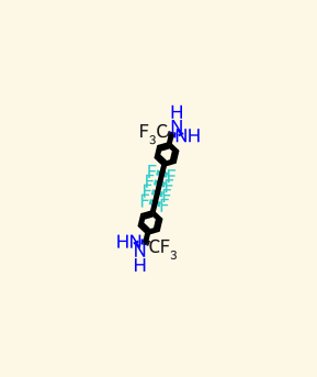 FC(F)(F)C1(c2ccc(C(F)(F)C(F)(F)C(F)(F)C(F)(F)c3ccc(C4(C(F)(F)F)NN4)cc3)cc2)NN1